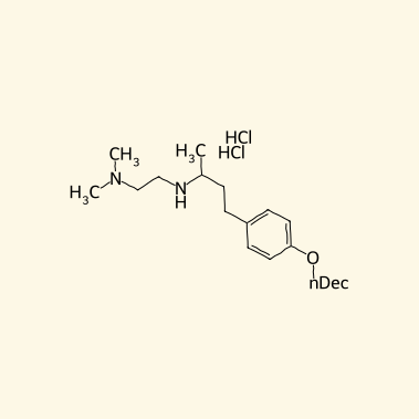 CCCCCCCCCCOc1ccc(CCC(C)NCCN(C)C)cc1.Cl.Cl